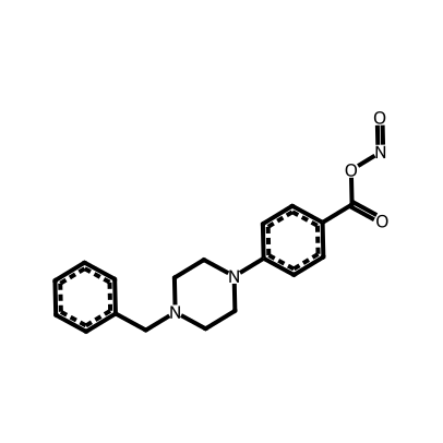 O=NOC(=O)c1ccc(N2CCN(Cc3ccccc3)CC2)cc1